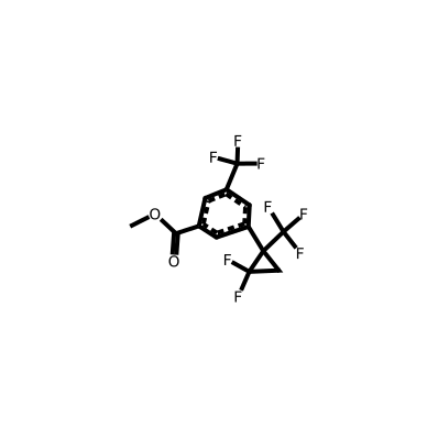 COC(=O)c1cc(C(F)(F)F)cc(C2(C(F)(F)F)CC2(F)F)c1